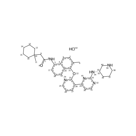 Cc1ccc2c(NC(=O)CC3(C)CCCCC3)cccc2c1Oc1ncccc1-c1ccnc(N[C@H]2CCCNC2)n1.Cl